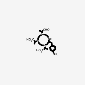 CC(C=O)N1CCNC(Cc2ccc(N)cc2)CN(C(C)C(=O)O)CCN(C(C)C(=O)O)CC1